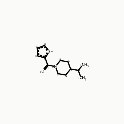 CC(C)C1CCN(C(=O)c2cccs2)CC1